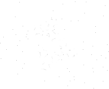 c1ccc(-c2ccccc2-c2ccc(-n3c4ccccc4c4ccc(-c5ccc6c(c5)c5ccccc5n6-c5ccccc5)cc43)cc2)cc1